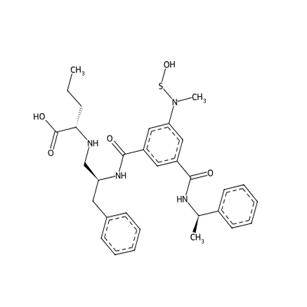 CCC[C@H](NC[C@H](Cc1ccccc1)NC(=O)c1cc(C(=O)N[C@H](C)c2ccccc2)cc(N(C)SO)c1)C(=O)O